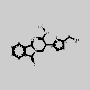 COC(=O)C(CN1C(=O)c2ccccc2C1=O)c1ccc(CO)s1